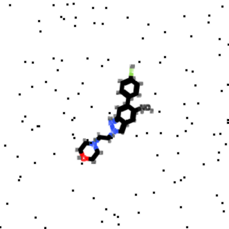 O=[N+]([O-])c1cc2cn(CCN3CCOCC3)nc2cc1-c1ccc(F)cc1